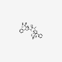 CC(C(=O)C(C)c1cc(-c2ccccc2)c(C(F)(F)F)s1)c1cc(-c2ccccc2)c(C(F)(F)F)s1